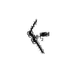 CCCCCCCCCCCC(=O)OC(=O)CC[C@H](N)C(=O)OC(=O)CCCCCCCCCCC.[KH].[KH].[KH].[KH]